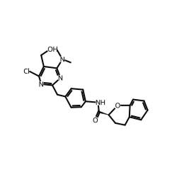 CN(C)c1nc(Cc2ccc(NC(=O)[C@@H]3CCc4ccccc4O3)cc2)nc(Cl)c1CO